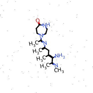 C=C(C/C(C)=C(N)/C(C)=N/C)/N=C(\C)N1CCNC(=O)CC1